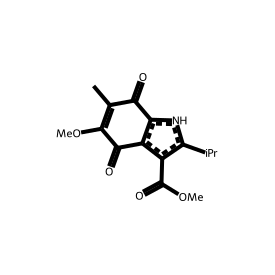 COC(=O)c1c(C(C)C)[nH]c2c1C(=O)C(OC)=C(C)C2=O